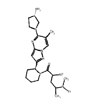 CCN(C)C(C)CC(N=O)C(=O)N1CCCC[C@H]1c1cc2nc(N3CC[C@H](N)C3)c(C)cn2n1